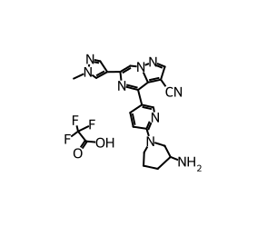 Cn1cc(-c2cn3ncc(C#N)c3c(-c3ccc(N4CCCC(N)C4)nc3)n2)cn1.O=C(O)C(F)(F)F